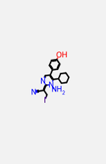 N#C/C(CI)=C1\N=CC(c2ccc(O)cc2)=C(C2CCCCC2)N1N